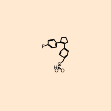 O=[SH](=O)OCc1ccc(C2=C(c3ccc(F)cc3)CCC2)cc1